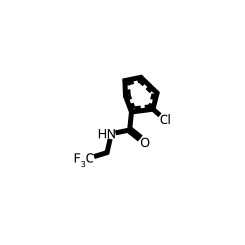 O=C(NCC(F)(F)F)c1ccccc1Cl